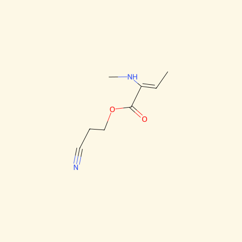 CC=C(NC)C(=O)OCCC#N